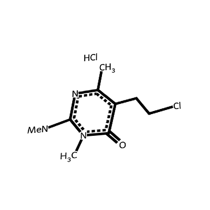 CNc1nc(C)c(CCCl)c(=O)n1C.Cl